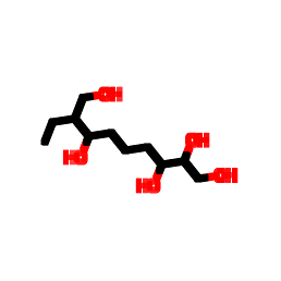 CCC(CO)C(O)CCCC(O)C(O)CO